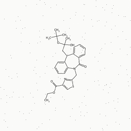 CCOC(=O)c1csc(CN2C(=O)c3ccccc3C(CC(C)(O)OC(C)(C)C)c3ccccc32)n1